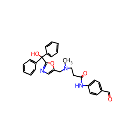 CN(CCC(=O)Nc1ccc(C=O)cc1)Cc1cnc(C(O)(c2ccccc2)c2ccccc2)o1